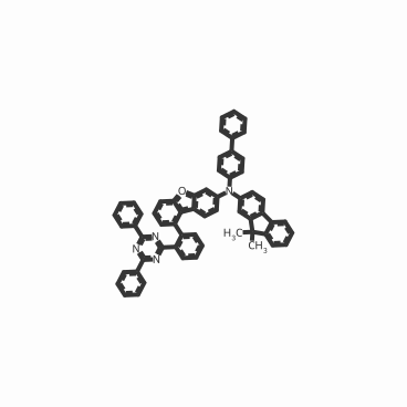 CC1(C)c2ccccc2-c2ccc(N(c3ccc(-c4ccccc4)cc3)c3ccc4c(c3)oc3cccc(-c5ccccc5-c5nc(-c6ccccc6)nc(-c6ccccc6)n5)c34)cc21